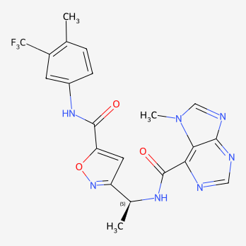 Cc1ccc(NC(=O)c2cc([C@H](C)NC(=O)c3ncnc4ncn(C)c34)no2)cc1C(F)(F)F